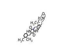 Cc1cccc(/C=c2\[nH]c(=O)/c(=C/c3ncn(CCCN4CCOCC4)c3C(C)C)[nH]c2=O)c1C